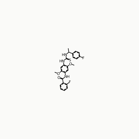 COc1cc(NC(=S)NC(C)c2ccc(F)cc2)c(OC)cc1NC(=O)c1ccccc1F